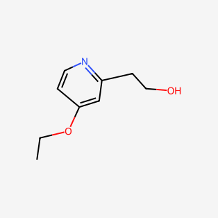 CCOc1ccnc(CCO)c1